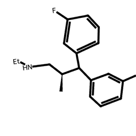 CCNC[C@H](C)C(c1cccc(F)c1)c1cccc(F)c1